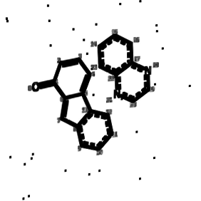 O=C1C=CC=C2C1=Cc1ccccc12.c1ccc2nccnc2c1